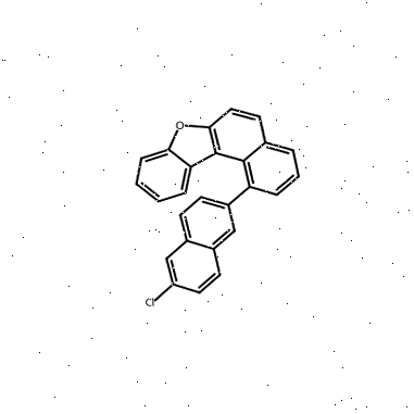 Clc1ccc2cc(-c3cccc4ccc5oc6ccccc6c5c34)ccc2c1